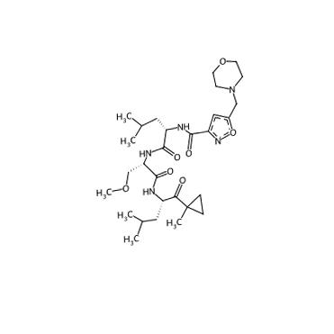 COC[C@H](NC(=O)[C@H](CC(C)C)NC(=O)c1cc(CN2CCOCC2)on1)C(=O)N[C@@H](CC(C)C)C(=O)C1(C)CC1